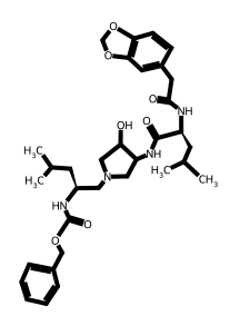 CC(C)C[C@@H](CN1CC(O)C(NC(=O)[C@H](CC(C)C)NC(=O)Cc2ccc3c(c2)OCO3)C1)NC(=O)OCc1ccccc1